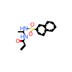 C=CC(=O)NC(C)NS(=O)(=O)c1ccc2ccccc2c1